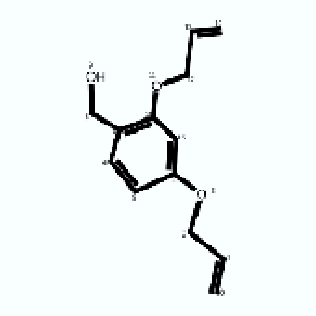 C=CCOc1ccc(CO)c(OCC=C)c1